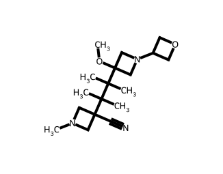 COC1(C(C)(C)C(C)(C)C2(C#N)CN(C)C2)CN(C2COC2)C1